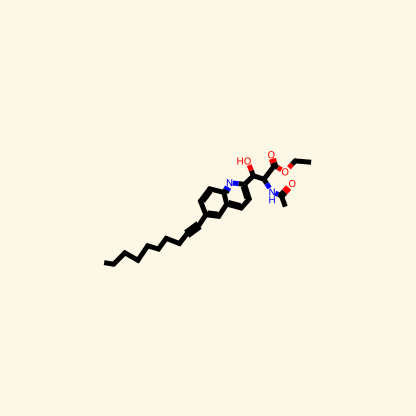 CCCCCCCCC#Cc1ccc2nc(C(O)C(NC(C)=O)C(=O)OCC)ccc2c1